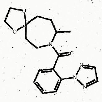 CC1CCC2(CCN1C(=O)c1ccccc1-n1nccn1)OCCO2